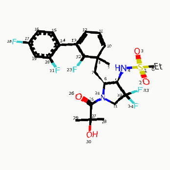 CCS(=O)(=O)N[C@@H]1[C@H](CC2(C)C=CC=C(c3ccc(F)cc3F)C2F)N(C(=O)C(C)(C)O)CC1(F)F